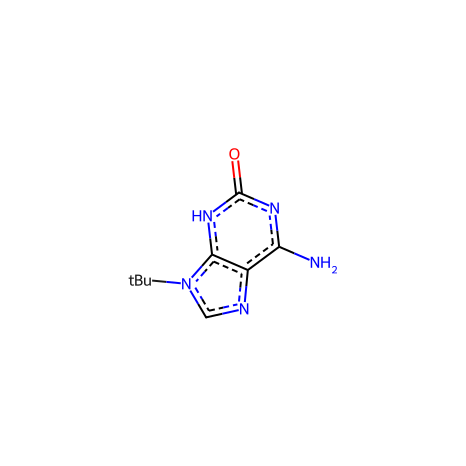 CC(C)(C)n1cnc2c(N)nc(=O)[nH]c21